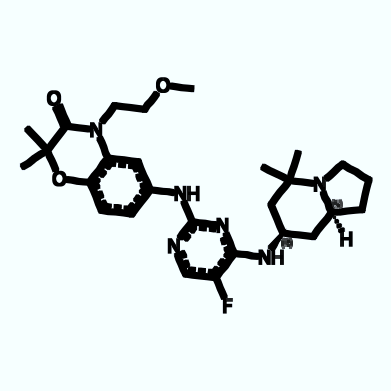 COCCN1C(=O)C(C)(C)Oc2ccc(Nc3ncc(F)c(N[C@@H]4C[C@@H]5CCCN5C(C)(C)C4)n3)cc21